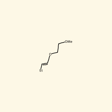 CC/C=C/OCCOC